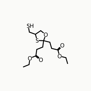 CCOC(=O)CCC1(CCC(=O)OCC)OCC(CS)S1